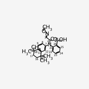 CON=CC(=O)N(c1ccc2c(c1)C(C)(C)CCC2(C)C)c1ccccc1C(=O)O